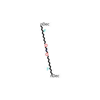 CCCCCCCCCCCCCC(F)CCCCCCCOC/C=C/COCCCCCCCC(F)CCCCCCCCCCCCC